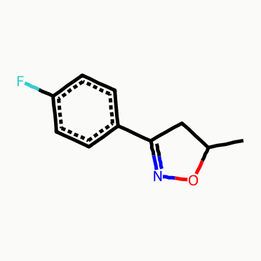 CC1CC(c2ccc(F)cc2)=NO1